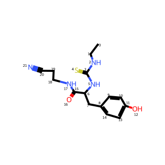 CCNC(=S)NC(Cc1ccc(O)cc1)C(=O)NCCC#N